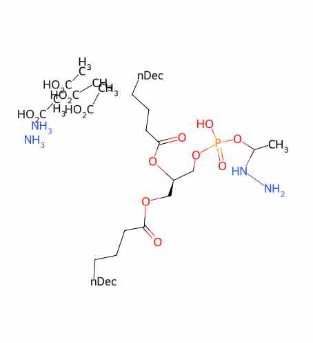 CC(=O)O.CC(=O)O.CC(=O)O.CC(=O)O.CCCCCCCCCCCCCC(=O)OC[C@H](COP(=O)(O)OC(C)NN)OC(=O)CCCCCCCCCCCCC.N.N